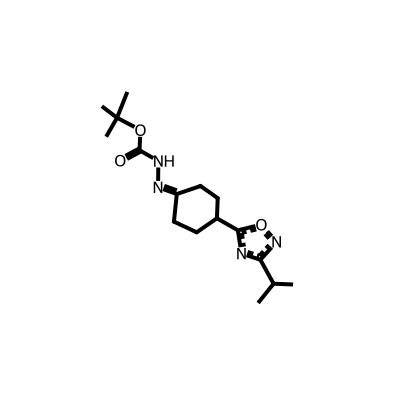 CC(C)c1noc(C2CCC(=NNC(=O)OC(C)(C)C)CC2)n1